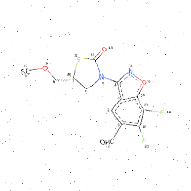 O=Cc1cc2c(N3C[C@H](COC(F)(F)F)SC3=O)noc2c(F)c1F